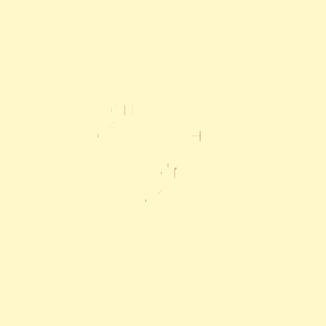 O=C(O)C1CCCC1.O=C(O)C1CCCCC1.O=C(O)C1CCCCCC1